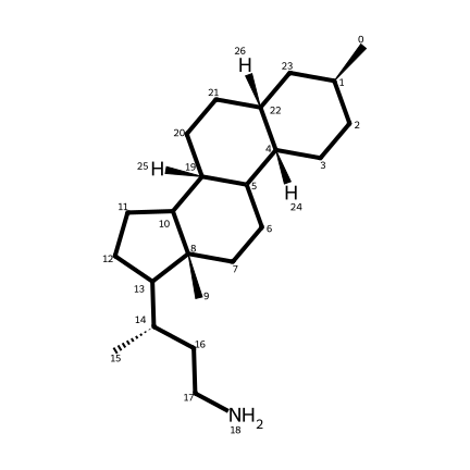 C[C@H]1CC[C@@H]2C3CC[C@@]4(C)C(CCC4[C@@H](C)CCN)[C@@H]3CC[C@@H]2C1